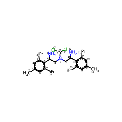 Cc1cc(C(C)C)c(C(N)C[N](CC(N)c2c(C(C)C)cc(C)cc2C(C)C)[Cu]([Cl])[Cl])c(C(C)C)c1